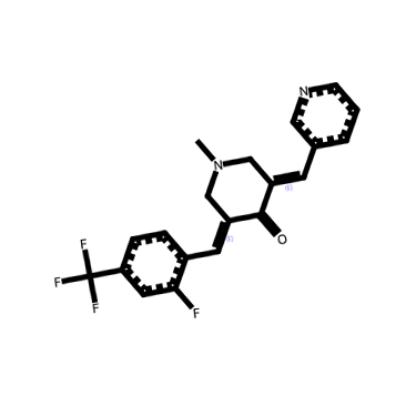 CN1C/C(=C\c2cccnc2)C(=O)/C(=C/c2ccc(C(F)(F)F)cc2F)C1